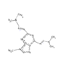 CN(C)/C=N/c1nc(/N=C/N(C)C)c2ncn(C)c2n1